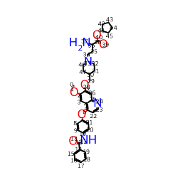 COc1cc2c(Oc3ccc(NC(=O)c4ccccc4)cc3)ccnc2cc1OCC1CCN(CCC(N)C(=O)OC2CCCC2)CC1